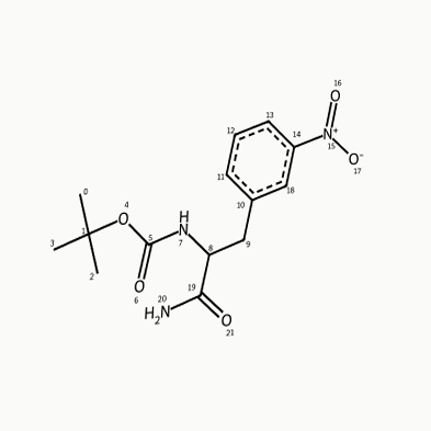 CC(C)(C)OC(=O)NC(Cc1cccc([N+](=O)[O-])c1)C(N)=O